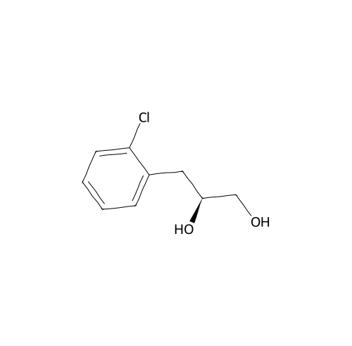 OC[C@@H](O)Cc1ccccc1Cl